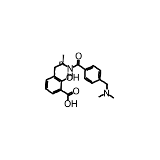 C[C@H](Cc1cccc(C(=O)O)c1O)NC(=O)c1ccc(CN(C)C)cc1